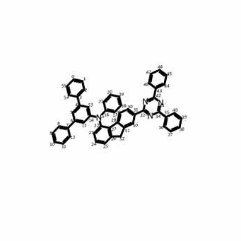 c1ccc(-c2cc(-c3ccccc3)cc(N(c3ccccc3)c3cccc4c3-c3ccc(-c5nc(-c6ccccc6)nc(-c6ccccc6)n5)cc3C4)c2)cc1